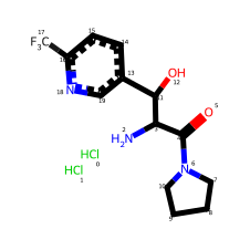 Cl.Cl.NC(C(=O)N1CCCC1)C(O)c1ccc(C(F)(F)F)nc1